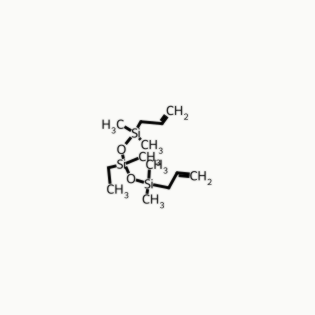 C=CC[Si](C)(C)O[Si](C)(CC)O[Si](C)(C)CC=C